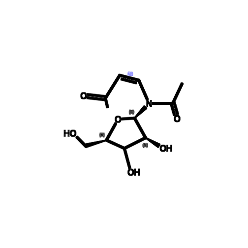 CC(=O)/C=C\N(C(C)=O)[C@@H]1O[C@H](CO)C(O)[C@@H]1O